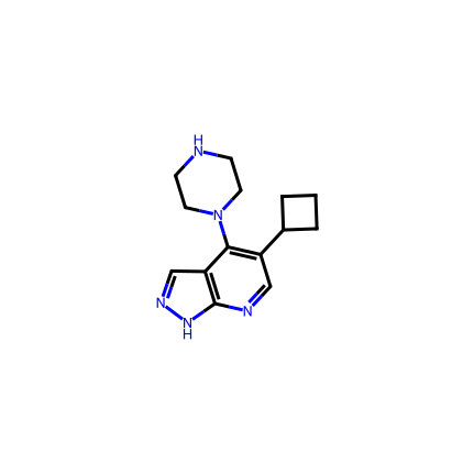 c1nc2[nH]ncc2c(N2CCNCC2)c1C1CCC1